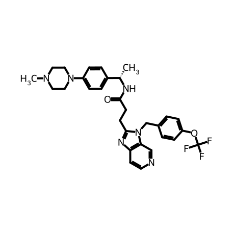 C[C@H](NC(=O)CCc1nc2ccncc2n1Cc1ccc(OC(F)(F)F)cc1)c1ccc(N2CCN(C)CC2)cc1